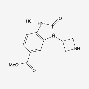 COC(=O)c1ccc2[nH]c(=O)n(C3CNC3)c2c1.Cl